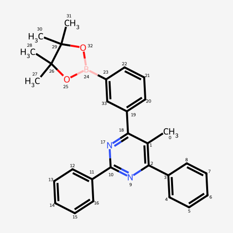 Cc1c(-c2ccccc2)nc(-c2ccccc2)nc1-c1cccc(B2OC(C)(C)C(C)(C)O2)c1